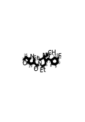 CCC1c2nn(C)c(-c3cccc(F)c3)c2C[C@@H](CC)N1C(=O)c1cnc2ccoc2c1